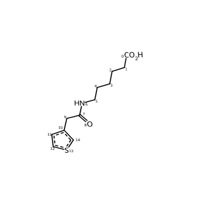 O=C(O)CCCCCNC(=O)Cc1ccsc1